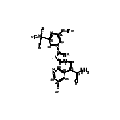 NC(=O)/C(=C/n1cnc(-c2cc(CF)cc(C(F)(F)F)c2)n1)c1cncc(F)c1